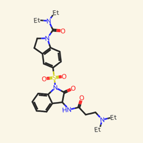 CCN(CC)CCC(=O)NC1C(=O)N(S(=O)(=O)c2ccc3c(c2)CCN3C(=O)N(CC)CC)c2ccccc21